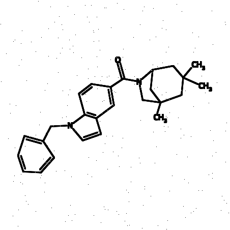 CC1(C)CC2CC(C)(CN2C(=O)c2ccc3c(ccn3Cc3ccccc3)c2)C1